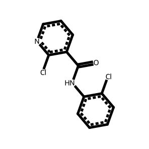 O=C(Nc1ccccc1Cl)c1cccnc1Cl